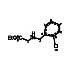 CCOC(=O)CNCc1ccccc1Cl